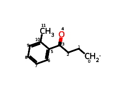 [CH2]CCC(=O)c1ccccc1C